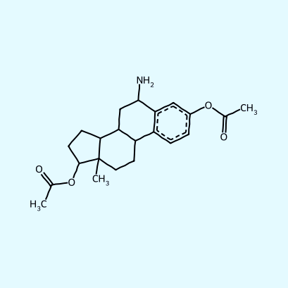 CC(=O)Oc1ccc2c(c1)C(N)CC1C2CCC2(C)C(OC(C)=O)CCC12